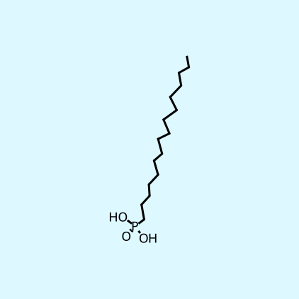 CCCCCCCCCCCCCCCCP(=O)(O)O